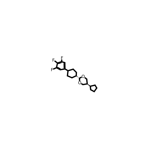 Fc1cc(C2CCC([C@H]3OC[C@H](C4CCCC4)CO3)CC2)cc(F)c1F